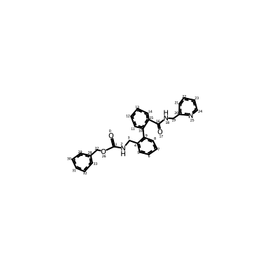 O=C(NCc1ccccc1-c1ccccc1C(=O)NCc1ccccn1)OCc1ccccc1